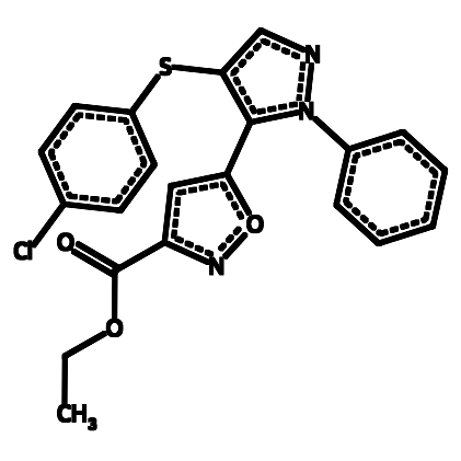 CCOC(=O)c1cc(-c2c(Sc3ccc(Cl)cc3)cnn2-c2ccccc2)on1